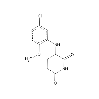 COc1ccc(Cl)cc1NC1CCC(=O)NC1=O